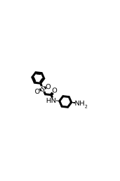 N[C@H]1CC[C@H](NC(=O)CS(=O)(=O)c2ccccc2)CC1